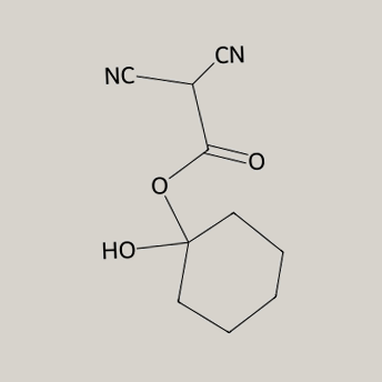 N#CC(C#N)C(=O)OC1(O)CCCCC1